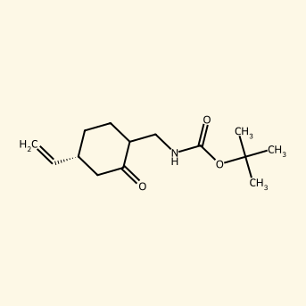 C=C[C@@H]1CCC(CNC(=O)OC(C)(C)C)C(=O)C1